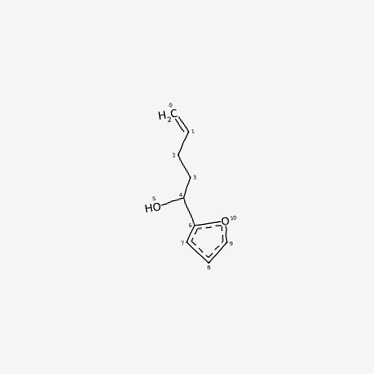 C=CCCC(O)c1ccco1